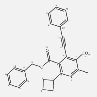 Cc1nc(C2CCC2)c(C(=O)OCc2ccccc2)c(C#Cc2ccccc2)c1C(=O)O